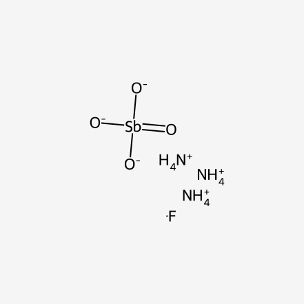 [F].[NH4+].[NH4+].[NH4+].[O]=[Sb]([O-])([O-])[O-]